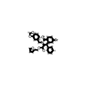 O=C(OCc1ccco1)c1c(-c2ccccc2)c2cc(Br)ccc2c(=O)n1Cc1ccc2c(c1)OCO2